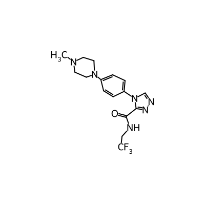 CN1CCN(c2ccc(-n3cnnc3C(=O)NCC(F)(F)F)cc2)CC1